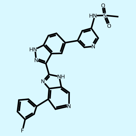 CS(=O)(=O)Nc1cncc(-c2ccc3[nH]nc(-c4nc5c(-c6cccc(F)c6)cncc5[nH]4)c3c2)c1